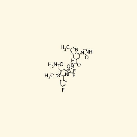 CCOc1c(CC(N)=O)cc([C@@](O)(CNC(=O)c2cc(N3CCNC3=O)c3ncc(C)cc3c2)C(F)(F)F)nc1-c1ccc(F)cc1